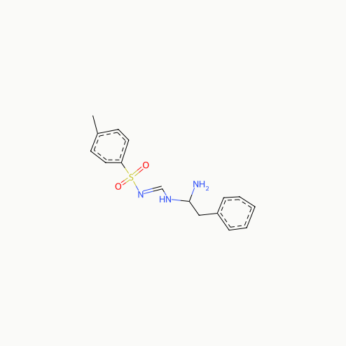 Cc1ccc(S(=O)(=O)N=CNC(N)Cc2ccccc2)cc1